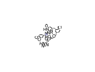 O=c1cc(Cc2cc(COC[C@@H](O)C[S+]([O-])c3ncn[nH]3)ccc2Cl)nc(N/N=C/c2ccc3c(c2)OCO3)[nH]1